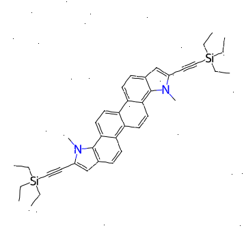 CC[Si](C#Cc1cc2ccc3c4ccc5c(ccc6cc(C#C[Si](CC)(CC)CC)n(C)c65)c4ccc3c2n1C)(CC)CC